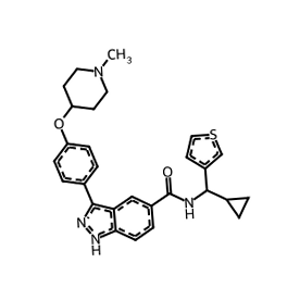 CN1CCC(Oc2ccc(-c3n[nH]c4ccc(C(=O)NC(c5ccsc5)C5CC5)cc34)cc2)CC1